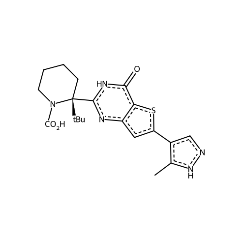 Cc1[nH]ncc1-c1cc2nc([C@@]3(C(C)(C)C)CCCCN3C(=O)O)[nH]c(=O)c2s1